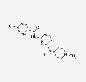 CN1CCC(=C(F)c2cccc(NC(=O)c3ccc(Cl)cn3)n2)CC1